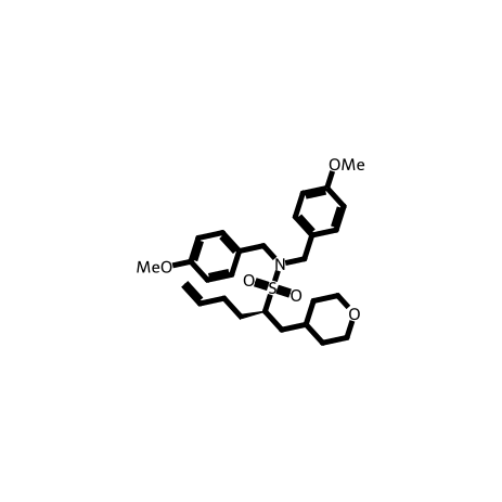 C=CCC[C@H](CC1CCOCC1)S(=O)(=O)N(Cc1ccc(OC)cc1)Cc1ccc(OC)cc1